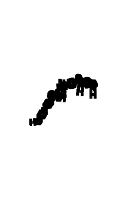 O=C(Nc1ccc2c(cnn2-c2ccc(C(=O)Nc3ccc4cc[nH]c4c3)cc2)c1)c1ccc(N2CCC(O)CC2)cc1